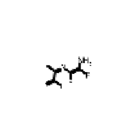 C=C(F)/C(C)=N\C(F)=C(/N)F